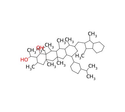 CC(C)C1CCCC(C2CC(CC3C(C)C4CCCCC4C3C)C(C)C3C(C)C4C(C)C5(C)C(O)C(C(C)O)C(C)CC5(C)CC4(C)CC23)C1